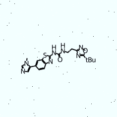 Cn1cncc1-c1ccc2nc(NC(=O)NCCc3noc(C(C)(C)C)n3)sc2c1